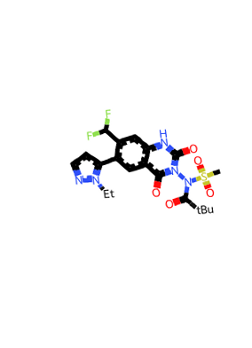 CCn1nccc1-c1cc2c(=O)n(N(C(=O)C(C)(C)C)S(C)(=O)=O)c(=O)[nH]c2cc1C(F)F